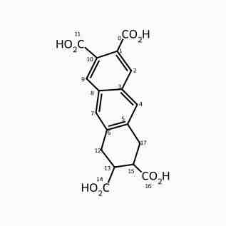 O=C(O)c1cc2cc3c(cc2cc1C(=O)O)CC(C(=O)O)C(C(=O)O)C3